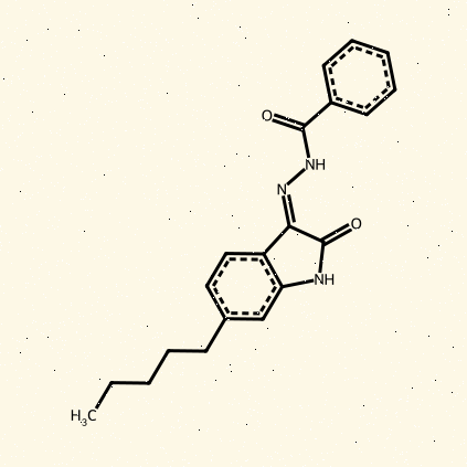 CCCCCc1ccc2c(c1)NC(=O)/C2=N\NC(=O)c1ccccc1